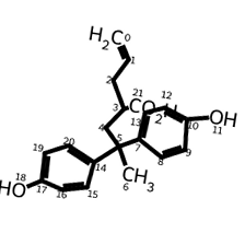 C=CCC(CC(C)(c1ccc(O)cc1)c1ccc(O)cc1)C(=O)O